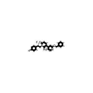 Fc1ccc(CCN2C([AsH2])=C(c3ccnc(OCc4ccccc4)c3)C=CC2C(F)(F)F)cc1